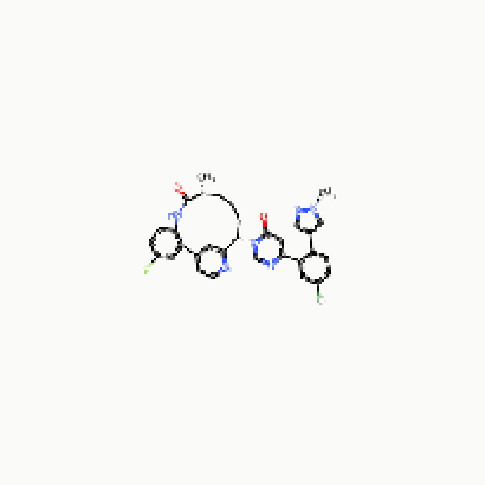 C[C@@H]1CCC[C@H](n2cnc(-c3cc(Cl)ccc3-c3cnn(C)c3)cc2=O)c2cc(ccn2)-c2cc(F)ccc2NC1=O